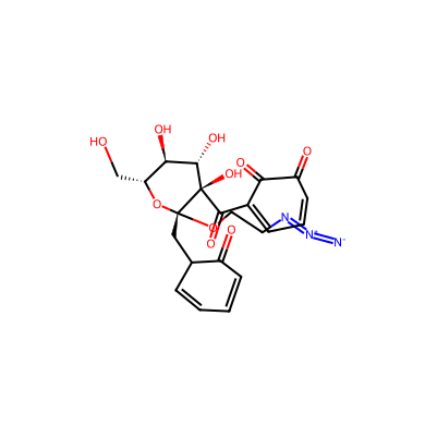 [N-]=[N+]=NCCO[C@]1(CC2C=CC=CC2=O)O[C@H](CO)[C@@H](O)[C@H](O)[C@]1(O)C(=O)C1=CC=CC(=O)C1=O